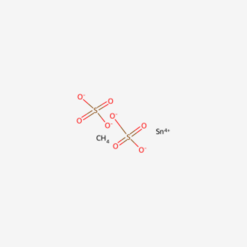 C.O=S(=O)([O-])[O-].O=S(=O)([O-])[O-].[Sn+4]